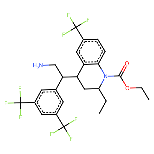 CCOC(=O)N1c2ccc(C(F)(F)F)cc2C(C(CN)c2cc(C(F)(F)F)cc(C(F)(F)F)c2)CC1CC